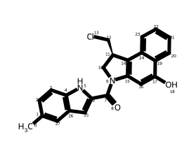 Cc1ccc2[nH]c(C(=O)N3C[C@@H](CCl)c4c3cc(O)c3ccccc43)cc2c1